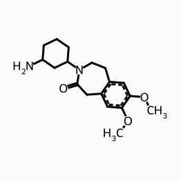 COc1cc2c(cc1OC)CC(=O)N(C1CCCC(N)C1)CC2